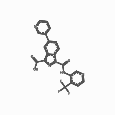 O=C(O)c1nn(C(=O)Nc2cnccc2C(F)(F)F)c2ccc(-c3cccnc3)cc12